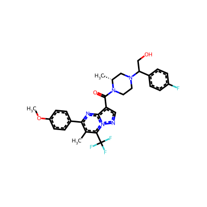 COc1ccc(-c2nc3c(C(=O)N4CCN(C(CO)c5ccc(F)cc5)C[C@H]4C)cnn3c(C(F)(F)F)c2C)cc1